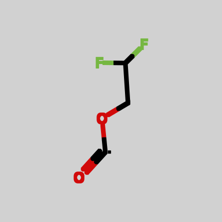 O=[C]OCC(F)F